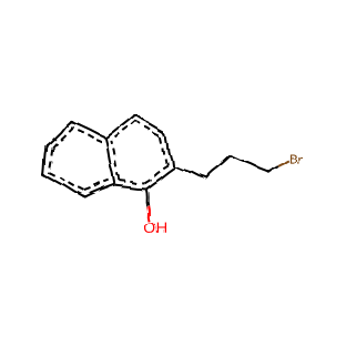 Oc1c(CCCBr)ccc2ccccc12